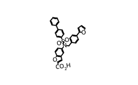 O=C(O)c1cc2cc(N(Cc3ccc(-c4ccco4)cc3)S(=O)(=O)c3ccc(-c4ccccc4)cc3)ccc2o1